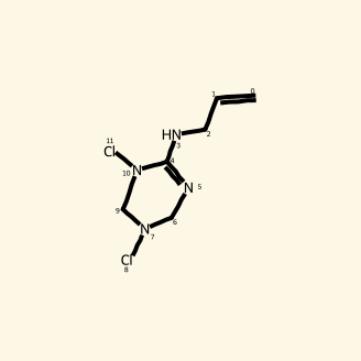 C=CCNC1=NCN(Cl)CN1Cl